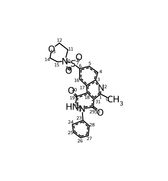 Cc1nc2ccc(S(=O)(=O)N3CCOCC3)cc2c2c(=O)[nH]n(-c3ccccc3)c(=O)c12